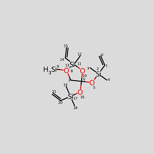 C=C[Si](C)(C)OC(CO[SiH3])(O[Si](C)(C)C=C)O[Si](C)(C)C=C